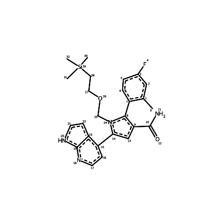 Cc1cc(F)ccc1-c1c(C(N)=O)cc(-c2ccnc3[nH]ccc23)n1COCC[Si](C)(C)C